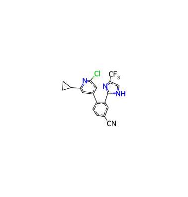 N#Cc1ccc(-c2cc(Cl)nc(C3CC3)c2)c(-c2nc(C(F)(F)F)c[nH]2)c1